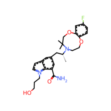 C[C@H](Cc1cc(C(N)=O)c2c(ccn2CCCO)c1)N1CCOc2ccc(F)cc2OCC1(C)C